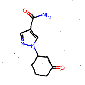 NC(=O)c1cnn(C2CCCC(=O)C2)c1